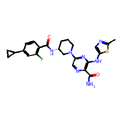 Cc1ncc(Nc2nc(N3CCC[C@@H](NC(=O)c4ccc(C5CC5)cc4F)C3)cnc2C(N)=O)s1